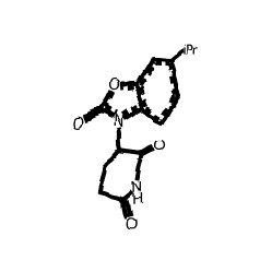 CC(C)c1ccc2c(c1)oc(=O)n2C1CCC(=O)NC1=O